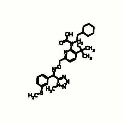 CSc1cccc(C(=NOCc2ccc(C(C)(C)C)c(N(CCC3CCCCC3)C(=O)O)n2)c2nnnn2C)c1